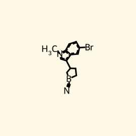 Cn1cc(C2CCB(C#N)C2)c2cc(Br)ccc21